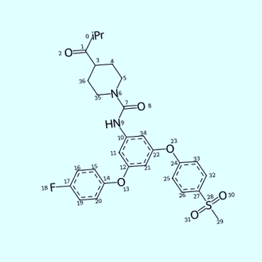 CC(C)C(=O)C1CCN(C(=O)Nc2cc(Oc3ccc(F)cc3)cc(Oc3ccc(S(C)(=O)=O)cc3)c2)CC1